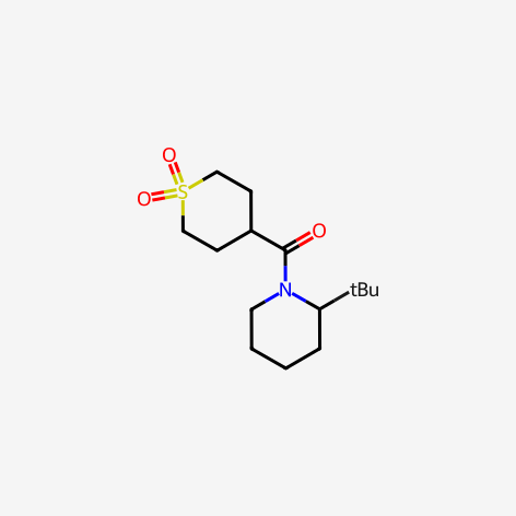 CC(C)(C)C1CCCCN1C(=O)C1CCS(=O)(=O)CC1